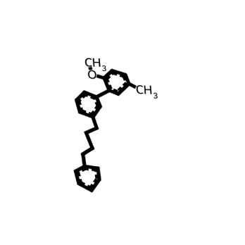 COc1ccc(C)cc1-c1cccc(CCCCc2ccccc2)c1